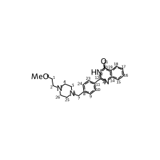 COCCN1CCN(Cc2ccc(-c3nc4ccccc4c(=O)[nH]3)cc2)CC1